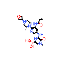 C=CC(=O)Nc1cc(Nc2nc(B(O)O)cn(C)c2=O)cnc1N1CCN(C2COC2)C[C@@H]1C